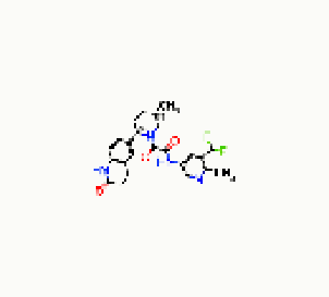 Cc1ncc(NC(=O)C(=O)N2C[C@@H](C)CC[C@@H]2c2ccc3c(c2)CCC(=O)N3)cc1C(F)F